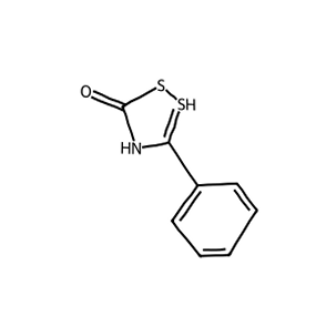 O=C1NC(c2ccccc2)=[SH]S1